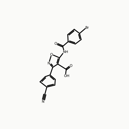 N#Cc1ccc(-c2noc(NC(=O)c3ccc(Br)cc3)c2C(=O)O)cc1